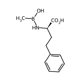 CB(O)N[C@H](CCc1ccccc1)C(=O)O